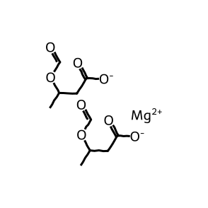 CC(CC(=O)[O-])OC=O.CC(CC(=O)[O-])OC=O.[Mg+2]